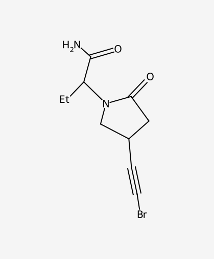 CCC(C(N)=O)N1CC(C#CBr)CC1=O